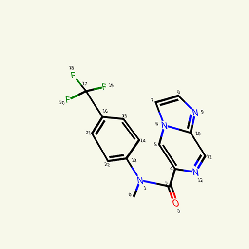 CN(C(=O)c1cn2ccnc2cn1)c1ccc(C(F)(F)F)cc1